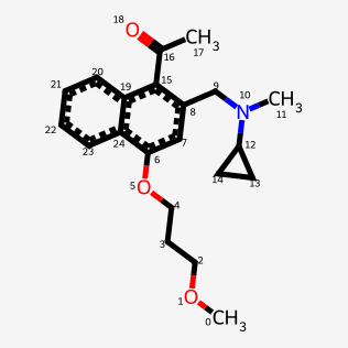 COCCCOc1cc(CN(C)C2CC2)c(C(C)=O)c2ccccc12